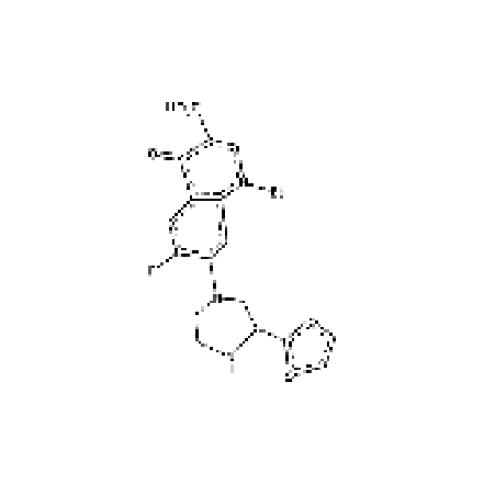 CCn1cc(C(=O)O)c(=O)c2cc(F)c(N3CCNC(c4cccs4)C3)cc21